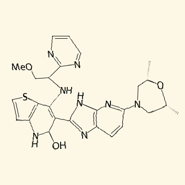 COCC(NC1=C(c2nc3ccc(N4C[C@@H](C)O[C@@H](C)C4)nc3[nH]2)C(O)Nc2ccsc21)c1ncccn1